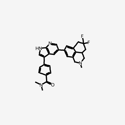 CN1Cc2cc(-c3cnc4[nH]cc(-c5ccc(C(=O)N(C)C)cc5)c4c3)cc3c2C(C1)CC(F)(F)C3